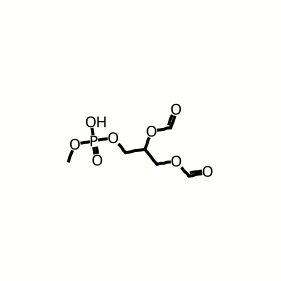 COP(=O)(O)OCC(COC=O)OC=O